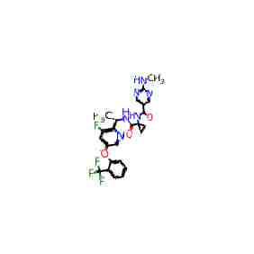 CNc1ncc(C(=O)NC2(C(=O)N[C@H](C)c3ncc(Oc4ccccc4C(F)(F)F)cc3F)CC2)cn1